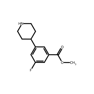 COC(=O)c1cc(F)cc(C2CCNCC2)c1